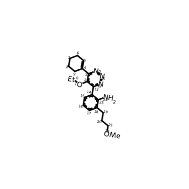 CCOc1c(C2=CCCCC2)nnnc1-c1cccc(CCCOC)c1N